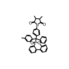 Cc1ccc(C(c2ccccc2)(c2ccc(N3C(=O)C(C)C(C)C3=O)cc2)P2(=O)Oc3ccccc3-c3ccccc32)cc1